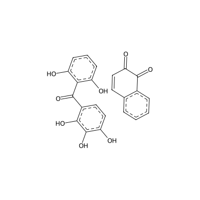 O=C(c1ccc(O)c(O)c1O)c1c(O)cccc1O.O=C1C=Cc2ccccc2C1=O